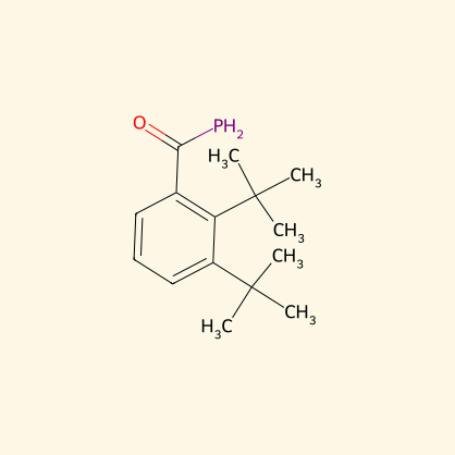 CC(C)(C)c1cccc(C(=O)P)c1C(C)(C)C